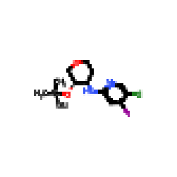 CC(C)(C)[Si](C)(C)O[C@@H]1COCC[C@H]1Nc1cc(I)c(Cl)cn1